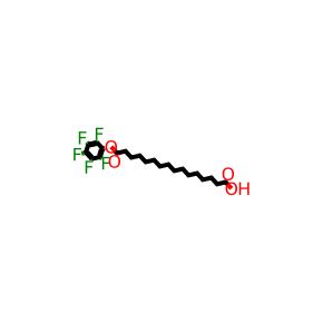 O=C(O)CCCCCCCCCCCCCCC(=O)Oc1c(F)c(F)c(F)c(F)c1F